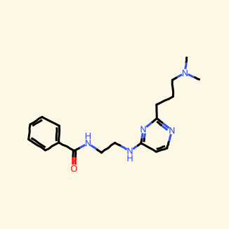 CN(C)CCCc1nccc(NCCNC(=O)c2ccccc2)n1